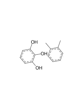 Cc1ccccc1C.Oc1cccc(O)c1O